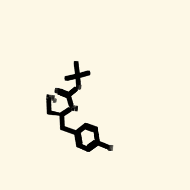 CC(C)(C)OC(=O)N[C@H](CN)Cc1ccc(Cl)cc1